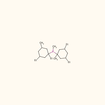 CCC1CC(CC)CC(C)(P(C)C2(CC)CC(C)CC(CC)C2)C1